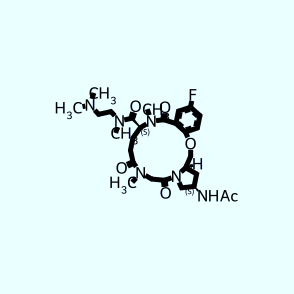 CC(=O)N[C@H]1C[C@H]2COc3ccc(F)cc3C(=O)N(C)[C@H](C(=O)N(C)CCN(C)C)CCC(=O)N(C)CC(=O)N2C1